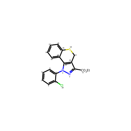 CCOC(=O)c1nn(-c2ccccc2Cl)c2c1CSc1ccccc1-2